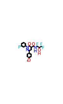 COc1ccc(-c2cc(C(=O)NC(F)C(O)C(F)F)c(=O)n(-c3cccc(F)c3)n2)cc1